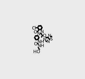 CC(Oc1ncnc2scnc12)c1nc2cccc(Cl)c2c(=O)n1-c1cccc(NC(=O)NCCO)c1